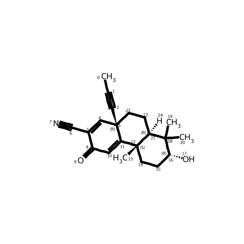 CC#C[C@]12C=C(C#N)C(=O)C=C1[C@@]1(C)CC[C@@H](O)C(C)(C)[C@@H]1CC2